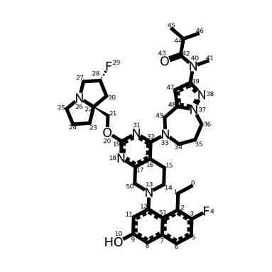 CCc1c(F)ccc2cc(O)cc(N3CCc4c(nc(OC[C@@]56CCCN5C[C@H](F)C6)nc4N4CCCn5nc(N(C)C(=O)C(C)C)cc5C4)C3)c12